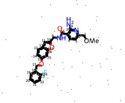 COCc1ccc(C(=O)NCc2cc3ccc(OCc4ccccc4F)cc3o2)c(N)n1